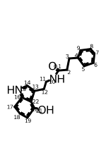 O=C(CCc1ccccc1)NCCc1c[nH]c2cccc(O)c12